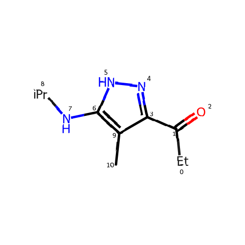 CCC(=O)c1n[nH]c(NC(C)C)c1C